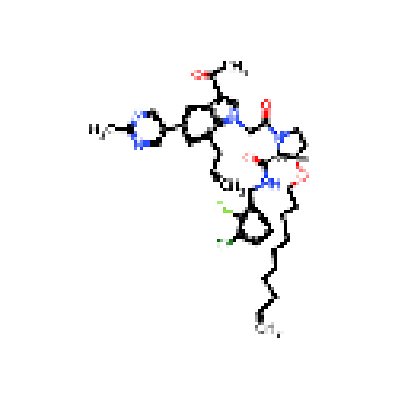 C=CCCCCCCCCO[C@@H]1CCN(C(=O)Cn2cc(C(C)=O)c3cc(-c4cnc(C)nc4)cc(CC=C)c32)[C@@H]1C(=O)NCc1cccc(Cl)c1F